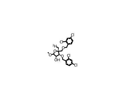 [2H]C[C@]1(COCc2ccc(Cl)cc2Cl)OC(OC)[C@H](O)[C@@H]1OCc1ccc(Cl)cc1Cl